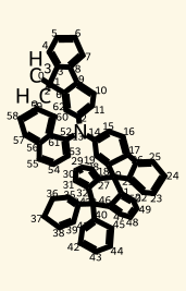 CC1(C)c2ccccc2-c2ccc(N(c3ccc4c(c3)C3(c5ccccc5-4)c4ccccc4C(C4=CCCC=C4)(c4ccccc4)c4ccccc43)c3cccc4ccccc34)cc21